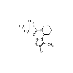 Cc1c(Br)nnn1C1CCCCN1C(=O)OC(C)(C)C